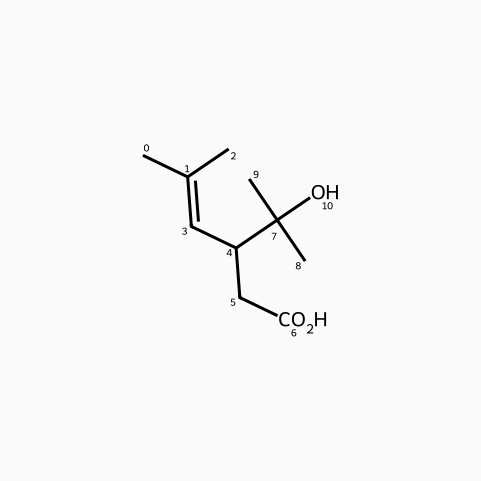 CC(C)=CC(CC(=O)O)C(C)(C)O